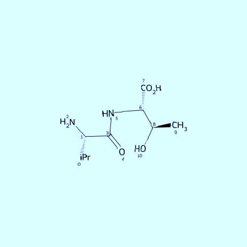 CC(C)[C@H](N)C(=O)N[C@H](C(=O)O)[C@@H](C)O